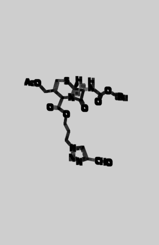 CC(=O)OCC1=CS[C@@H]2[C@H](NC(=O)OC(C)(C)C)C(=O)N2C1C(=O)OCCCn1cc(C=O)nn1